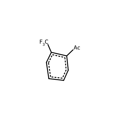 [CH2]C(=O)c1ccccc1C(F)(F)F